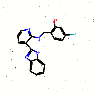 Oc1cc(F)ccc1CNc1ncccc1-c1nc2ccccc2[nH]1